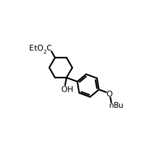 CCCCOc1ccc(C2(O)CCC(C(=O)OCC)CC2)cc1